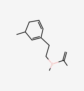 C=C(C)B(C)CCC1=CC(C)CC=C1